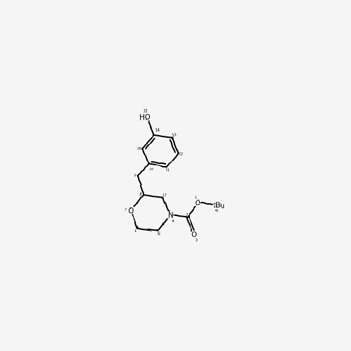 CC(C)(C)OC(=O)N1CCOC(Cc2cccc(O)c2)C1